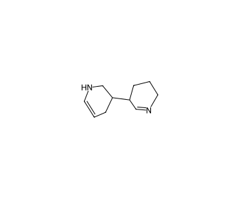 C1=CNCC(C2C=NCCC2)C1